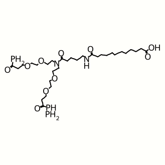 O=C(O)CCCCCCCCCCC(=O)NCCCCC(=O)N(CCOCCOCCC(=O)P)CCOCCOCCC(=O)PP